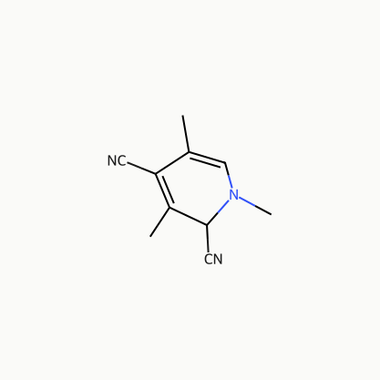 CC1=CN(C)C(C#N)C(C)=C1C#N